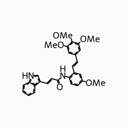 COc1ccc(NC(=O)/C=C/c2c[nH]c3ccccc23)c(C=Cc2cc(OC)c(OC)c(OC)c2)c1